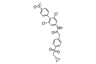 C[S+]([O-])c1ccc(-c2c(Cl)cc(NC(=O)Cc3ccc(S(=O)(=O)CC4CC4)cc3)cc2Cl)cc1